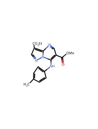 CCOC(=O)c1cnn2c(Nc3ccc(C)cc3)c(C(=O)OC)cnc12